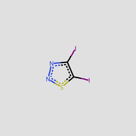 Ic1nnsc1I